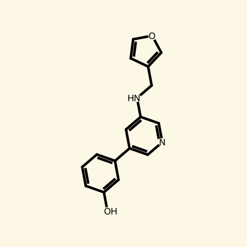 Oc1cccc(-c2cncc(NCc3ccoc3)c2)c1